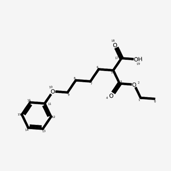 CCOC(=O)C(CCCCOc1ccccc1)C(=O)O